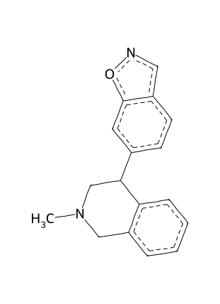 CN1Cc2ccccc2C(c2ccc3cnoc3c2)C1